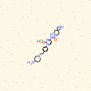 Cl.NC1CCCN(CCc2ccc(-n3ccc(NC(=O)N4CCC5(CC4)CNC5)nc3=O)cc2)CC1